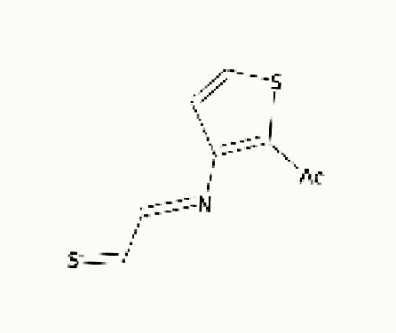 CC(=O)c1sccc1N=CC=S